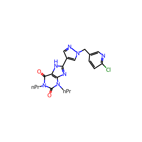 CCCn1c(=O)c2[nH]c(-c3cnn(Cc4ccc(Cl)nc4)c3)nc2n(CCC)c1=O